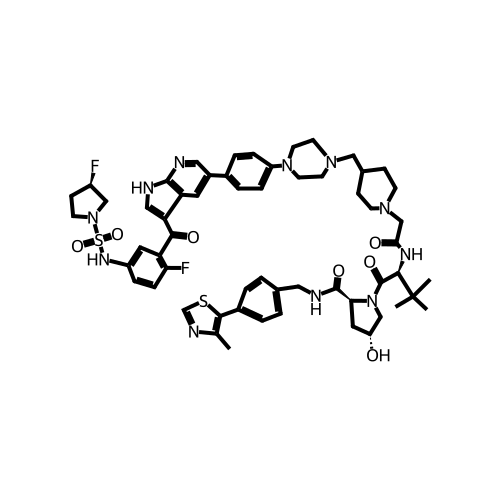 Cc1ncsc1-c1ccc(CNC(=O)[C@@H]2C[C@@H](O)CN2C(=O)[C@@H](NC(=O)CN2CCC(CN3CCN(c4ccc(-c5cnc6[nH]cc(C(=O)c7cc(NS(=O)(=O)N8CC[C@@H](F)C8)ccc7F)c6c5)cc4)CC3)CC2)C(C)(C)C)cc1